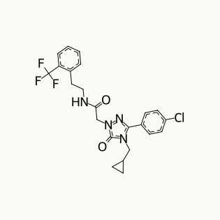 O=C(Cn1nc(-c2ccc(Cl)cc2)n(CC2CC2)c1=O)NCCc1ccccc1C(F)(F)F